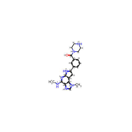 CNc1nc2[nH]c(-c3cccc(C(=O)N4CCNCC4)c3)cc2c2c1ncn2C